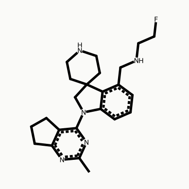 Cc1nc2c(c(N3CC4(CCNCC4)c4c(CNCCF)cccc43)n1)CCC2